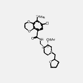 COc1c(Cl)cc(C(=O)NC[C@@H]2CCN(CC3CCCO3)C[C@H]2OC)c2c1OCCO2